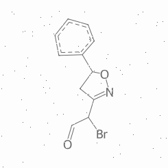 O=CC(Br)C1=NOC(c2ccccc2)C1